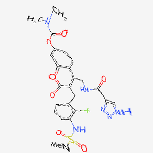 CNS(=O)(=O)Nc1cccc(Cc2c(CNC(=O)c3c[nH]nn3)c3ccc(OC(=O)N(C)C)cc3oc2=O)c1F